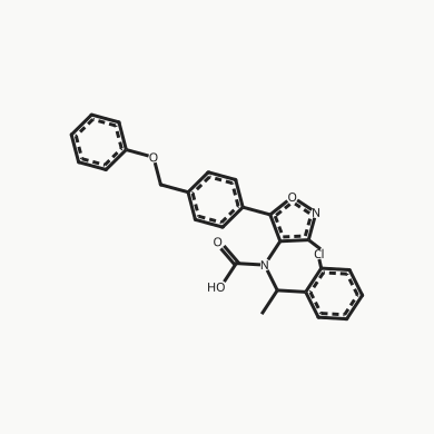 Cc1noc(-c2ccc(COc3ccccc3)cc2)c1N(C(=O)O)C(C)c1ccccc1Cl